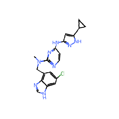 CN(Cc1cc(Cl)cc2[nH]cnc12)c1nccc(Nc2cc(C3CC3)[nH]n2)n1